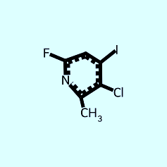 Cc1nc(F)cc(I)c1Cl